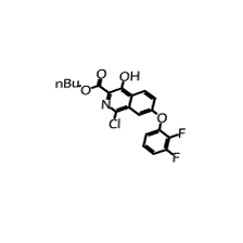 CCCCOC(=O)c1nc(Cl)c2cc(Oc3cccc(F)c3F)ccc2c1O